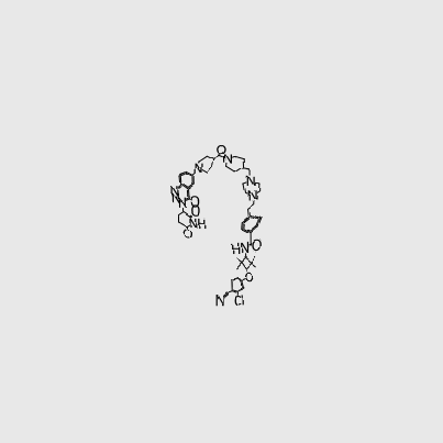 CC1(C)C(NC(=O)c2ccc(CCN3CCN(CC4CCN(C(=O)C5CCN(c6ccc7nnn(C8CCC(=O)NC8=O)c(=O)c7c6)CC5)CC4)CC3)cc2)C(C)(C)C1Oc1ccc(C#N)c(Cl)c1